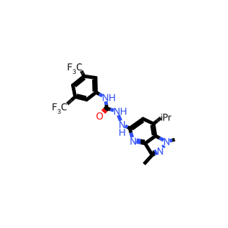 Cc1nn(C)c2c(C(C)C)cc(NNC(=O)Nc3cc(C(F)(F)F)cc(C(F)(F)F)c3)nc12